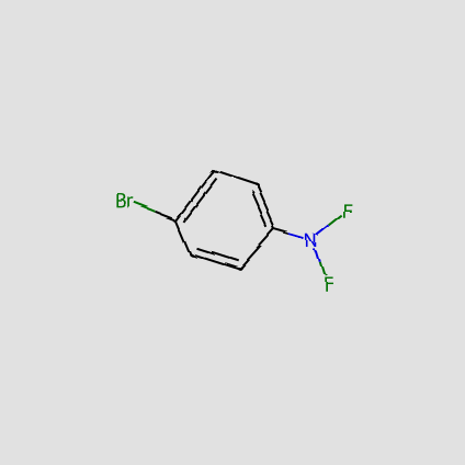 FN(F)c1ccc(Br)cc1